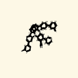 Cc1cccc(-c2ccc3c4ccccc4n(-c4cc(C#N)c(-c5cccnc5)cc4-n4c5ccccc5c5ccc(-c6cccc(C)c6)cc54)c3c2)c1